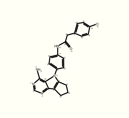 Nc1ncnc2c3c(n(-c4ccc(NC(=O)Cc5ccc(Cl)cc5)cc4)c12)CCC3